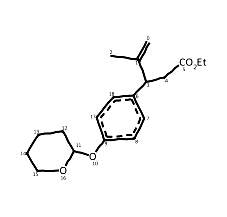 C=C(C)C(CC(=O)OCC)c1ccc(OC2CCCCO2)cc1